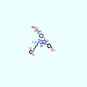 CC(C)[C@H](N[C@H](CCCCCN1C(=O)C=CC1=O)C(F)(F)F)C(=O)N[C@@H](C[C@H]1CC[C@H](CNC(=O)OC(C)(C)C)CC1)C(=O)Nc1ccc(CO)cc1